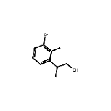 [CH2]C(CO)c1cccc(Br)c1C